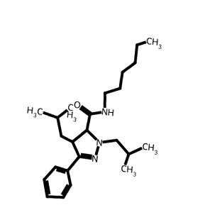 CCCCCCNC(=O)C1C(CC(C)C)C(c2ccccc2)=NN1CC(C)C